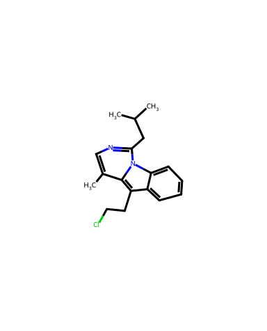 Cc1cnc(CC(C)C)n2c1c(CCCl)c1ccccc12